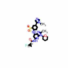 Cc1nc2c(Nc3ccc(-c4cncn4C)cc3[SH](=O)=O)cc(NC(=O)[C@@H]3C[C@@H]3F)nc2n1C1CCCCO1